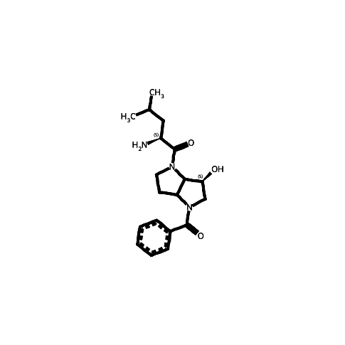 CC(C)C[C@H](N)C(=O)N1CCC2C1[C@@H](O)CN2C(=O)c1ccccc1